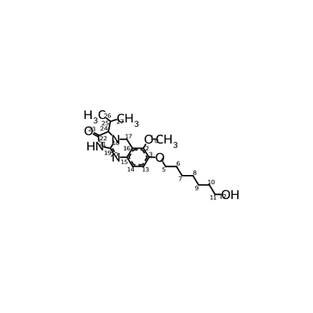 COc1c(OCCCCCCCO)ccc2c1CN1C(=N2)NC(=O)C1C(C)C